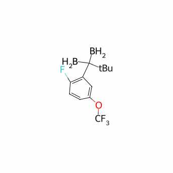 BC(B)(c1cc(OC(F)(F)F)ccc1F)C(C)(C)C